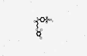 CN(C(=O)CCCOc1ccc(Cl)cc1Cl)C1CCC(S(N)(=O)=O)CC1